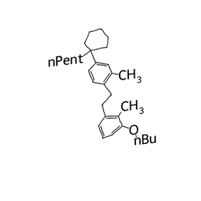 CCCCCC1(c2ccc(CCc3cccc(OCCCC)c3C)c(C)c2)CCCCC1